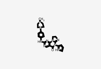 CN1CCN(c2ccc(Nc3ncc4c(n3)N3CCN=C3N(c3ccc[nH]3)C4=O)cc2)CC1